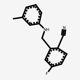 Cc1cccc(NCc2cc(F)ccc2C#N)c1